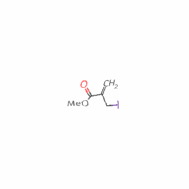 C=C(CI)C(=O)OC